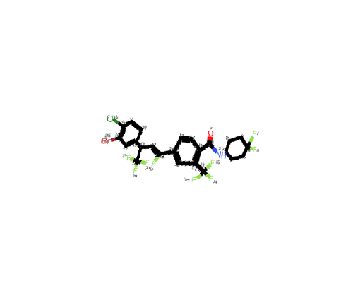 O=C(NC1CCC(F)(F)CC1)c1ccc(/C(F)=C/C(c2ccc(Cl)c(Br)c2)C(F)(F)F)cc1C(F)(F)F